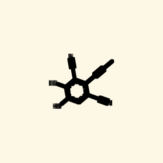 CC#Cc1c(C#N)cc(O)c(O)c1C#N